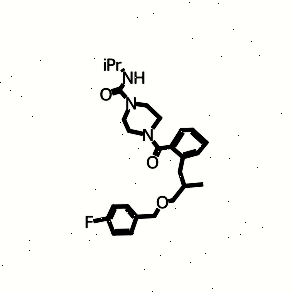 CC(COCc1ccc(F)cc1)Cc1ccccc1C(=O)N1CCN(C(=O)NC(C)C)CC1